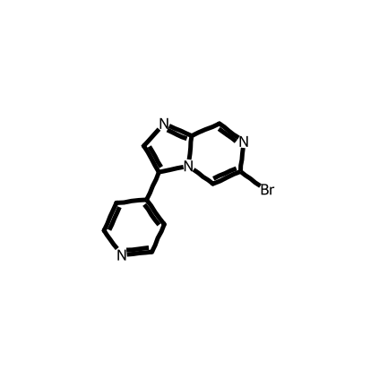 Brc1cn2c(-c3ccncc3)cnc2cn1